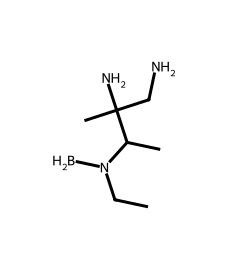 BN(CC)C(C)C(C)(N)CN